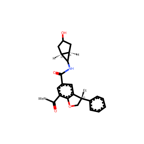 CC[C@@]1(c2ccccc2)COc2c(C(=O)NC)cc(C(=O)NC3[C@H]4CC(O)C[C@@H]34)cc21